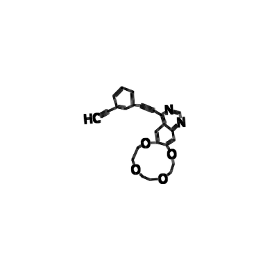 C#Cc1cccc(C#Cc2ncnc3cc4c(cc23)OCCOCCOCCO4)c1